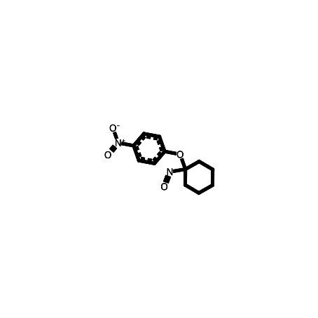 O=NC1(Oc2ccc([N+](=O)[O-])cc2)CCCCC1